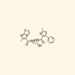 Cc1nc(C(=O)N[C@H](CNC(=O)c2c(C)nc3sccn23)C(C)C)c(-c2ccccc2)s1